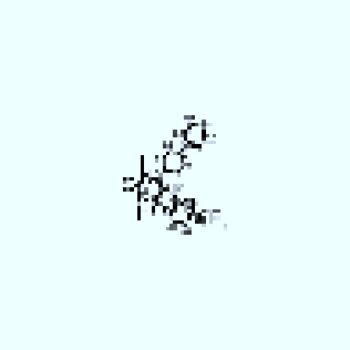 O=c1[nH]c(C2CCC(c3ccccc3)CC2)c(Cc2cccc(C(F)(F)F)n2)c(=O)[nH]1